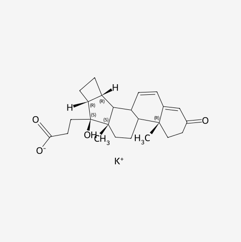 C[C@]12CCC(=O)C=C1C=CC1C2CC[C@@]2(C)C1[C@H]1CC[C@H]1[C@@]2(O)CCC(=O)[O-].[K+]